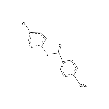 CC(=O)Oc1ccc(C(=O)Sc2ccc(Cl)cc2)cc1